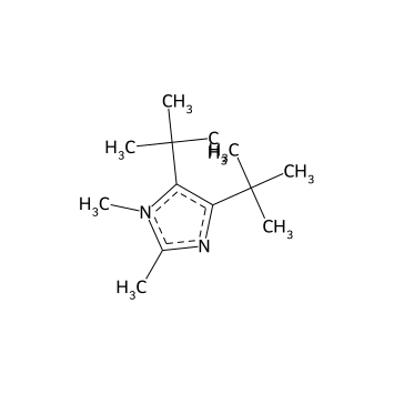 Cc1nc(C(C)(C)C)c(C(C)(C)C)n1C